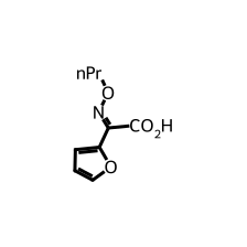 CCCON=C(C(=O)O)c1ccco1